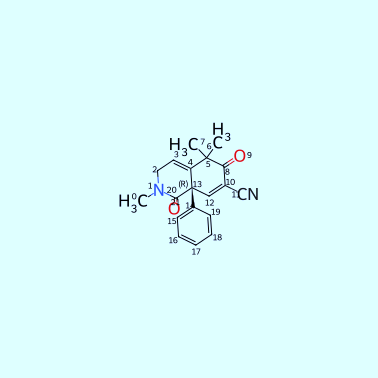 CN1CC=C2C(C)(C)C(=O)C(C#N)=C[C@]2(c2ccccc2)C1=O